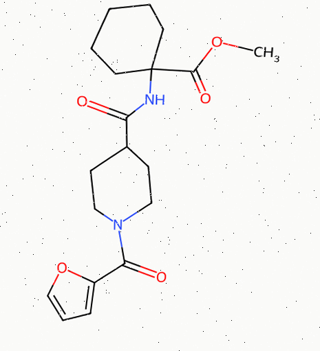 COC(=O)C1(NC(=O)C2CCN(C(=O)c3ccco3)CC2)CCCCC1